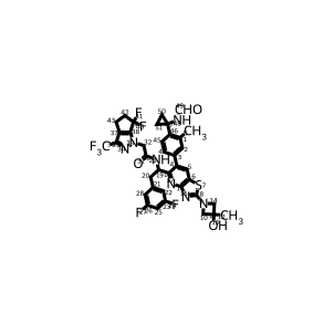 Cc1cc(-c2cc3sc(N4CC(C)(O)C4)nc3nc2C(Cc2cc(F)cc(F)c2)NC(=O)Cn2nc(C(F)(F)F)c3c2C(F)(F)CC3)ccc1C1(NC=O)CC1